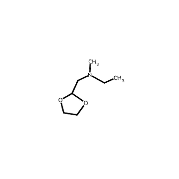 CCN(C)CC1OCCO1